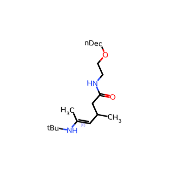 CCCCCCCCCCOCCNC(=O)CC(C)/C=C(\C)NC(C)(C)C